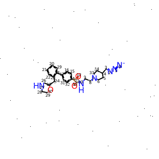 [N-]=[N+]=NCC1CCN(CCNS(=O)(=O)c2ccc(-c3ccccc3CC3CNCCO3)cc2)CC1